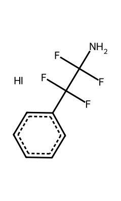 I.NC(F)(F)C(F)(F)c1ccccc1